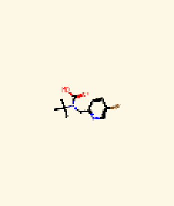 CC(C)(C)N(Cc1ccc(Br)cn1)C(=O)O